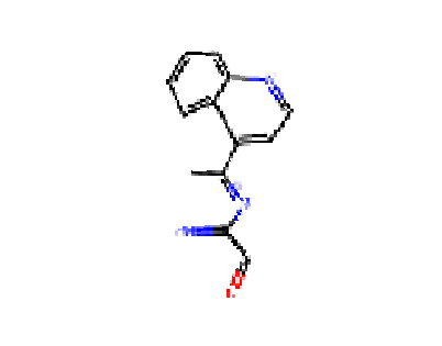 C/C(=N\C(=N)C=O)c1ccnc2ccccc12